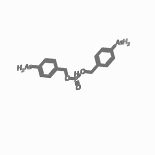 O=[PH](OCc1ccc([AsH2])cc1)OCc1ccc([AsH2])cc1